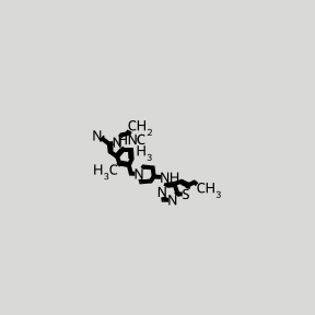 C=C(Cn1c(C#N)cc2c(C)c(CN3CCC(Nc4ncnc5sc(CC)cc45)CC3)ccc21)NC